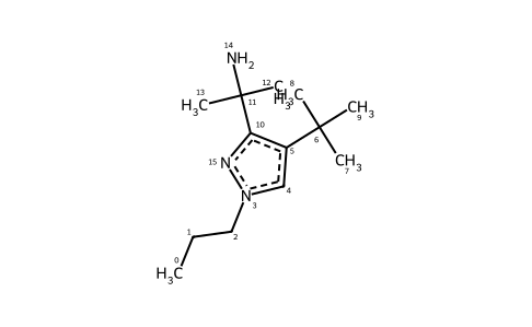 CCCn1cc(C(C)(C)C)c(C(C)(C)N)n1